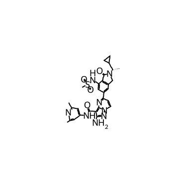 Cc1cc(NC(=O)c2c(N)nn3ccc(-c4cc5c(c(NS(C)(=O)=O)c4)C(=O)N([C@@H](C)C4CC4)C5)nc23)cc(C)n1